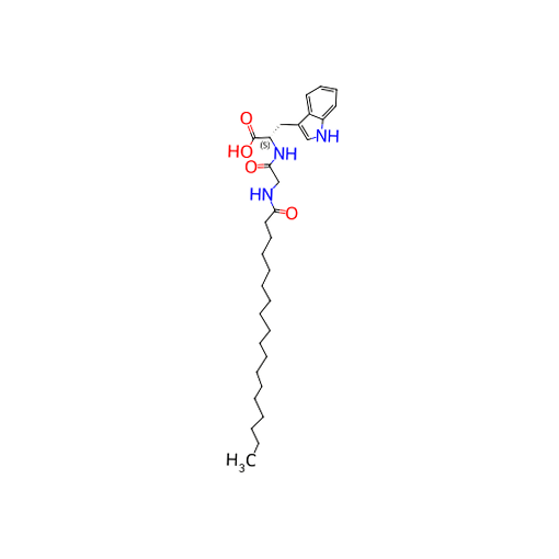 CCCCCCCCCCCCCCCCCC(=O)NCC(=O)N[C@@H](Cc1c[nH]c2ccccc12)C(=O)O